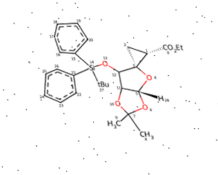 CCOC(=O)[C@H]1C[C@@]12O[C@@H]1OC(C)(C)OC1C2O[Si](c1ccccc1)(c1ccccc1)C(C)(C)C